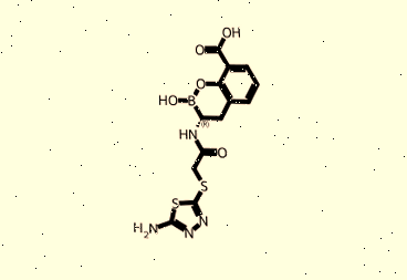 Nc1nnc(SCC(=O)N[C@H]2Cc3cccc(C(=O)O)c3OB2O)s1